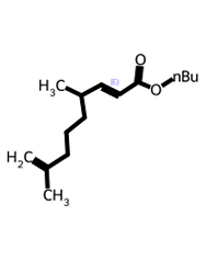 C=C(C)CCCC(C)/C=C/C(=O)OCCCC